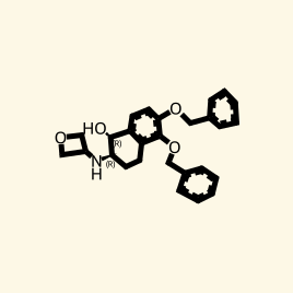 O[C@@H]1c2ccc(OCc3ccccc3)c(OCc3ccccc3)c2CC[C@H]1NC1COC1